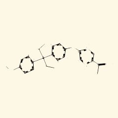 CCC(CC)(c1ccc(OC)cc1)c1ccc(Oc2cnc(C(C)=O)cn2)cc1